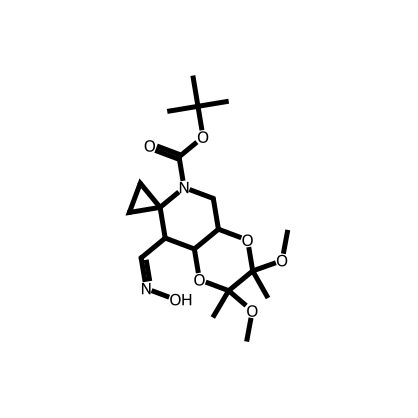 COC1(C)OC2CN(C(=O)OC(C)(C)C)C3(CC3)C(/C=N\O)C2OC1(C)OC